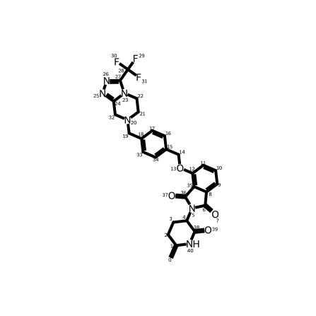 C=C1CCC(N2C(=O)c3cccc(OCc4ccc(CN5CCn6c(nnc6C(F)(F)F)C5)cc4)c3C2=O)C(=O)N1